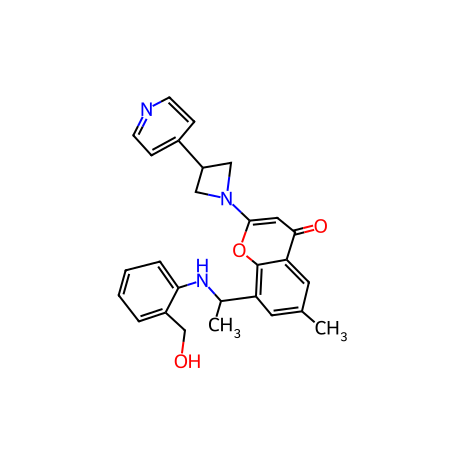 Cc1cc(C(C)Nc2ccccc2CO)c2oc(N3CC(c4ccncc4)C3)cc(=O)c2c1